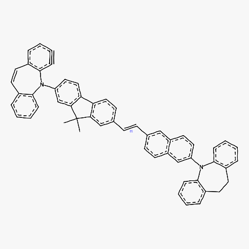 CC1(C)c2cc(/C=C/c3ccc4cc(N5c6ccccc6CCc6ccccc65)ccc4c3)ccc2-c2ccc(N3c4c#cccc4C=Cc4ccccc43)cc21